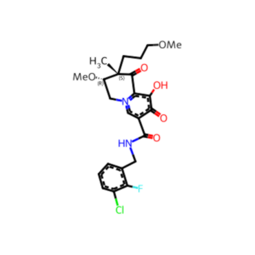 COCCC[C@]1(C)C(=O)c2c(O)c(=O)c(C(=O)NCc3cccc(Cl)c3F)cn2C[C@@H]1OC